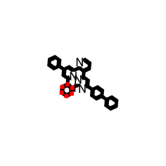 c1ccc(-c2ccc(-c3cc(-c4cccnc4-c4cc(-c5ccccc5)cc(-c5ccccn5)n4)nc(-c4ccccc4)n3)cc2)cc1